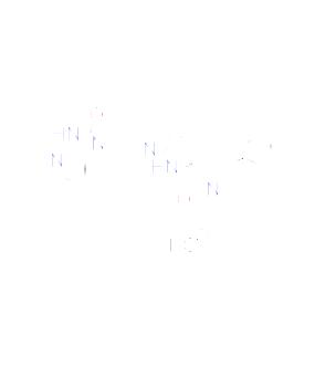 COCCN1C[C@H](c2ccccc2)CC[C@@H](NC(=O)N2CCC(n3c(=O)[nH]c4ncccc43)CC2)C1=O